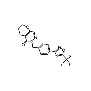 O=c1c2c(cnn1Cc1ccc(-c3noc(C(F)(F)F)n3)cc1)OCCC2